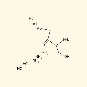 CC(=O)CC(=O)C(N)CO.Cl.Cl.Cl.Cl.N.N.N